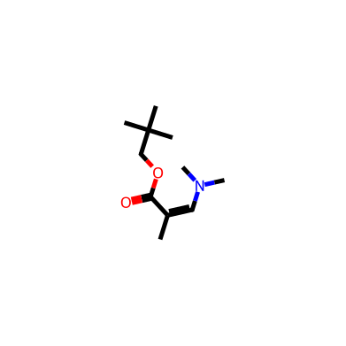 CC(=CN(C)C)C(=O)OCC(C)(C)C